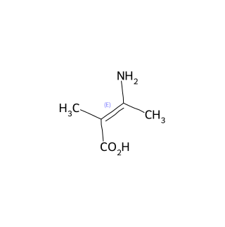 C/C(N)=C(/C)C(=O)O